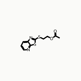 CC(=O)OCCSc1nc2cccnc2s1